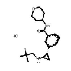 CC(C)(C)CN[C@@H]1C[C@H]1c1cccc(C(=O)NC2CCOCC2)c1.Cl